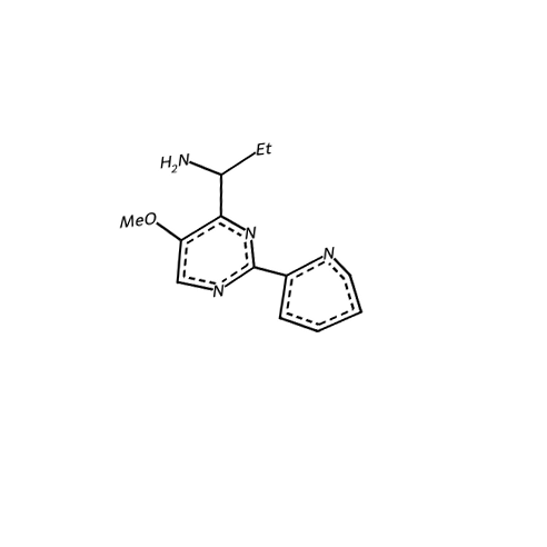 CCC(N)c1nc(-c2ccccn2)ncc1OC